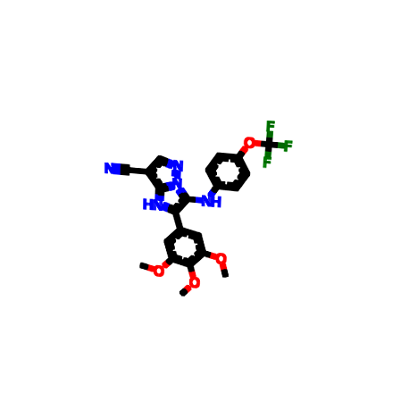 COc1cc(-c2[nH]c3c(C#N)cnn3c2Nc2ccc(OC(F)(F)F)cc2)cc(OC)c1OC